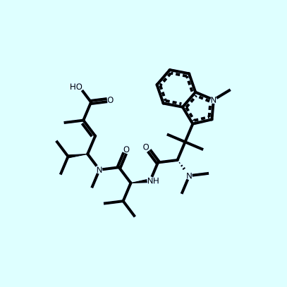 C/C(=C\[C@H](C(C)C)N(C)C(=O)[C@@H](NC(=O)[C@@H](N(C)C)C(C)(C)c1cn(C)c2ccccc12)C(C)C)C(=O)O